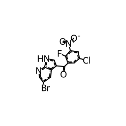 O=C(c1cc(Cl)cc([N+](=O)[O-])c1F)c1c[nH]c2ncc(Br)cc12